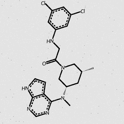 C[C@@H]1C[C@H](N(C)c2ncnc3[nH]ccc23)CN(C(=O)CNc2cc(Cl)cc(Cl)c2)C1